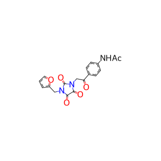 CC(=O)Nc1ccc(C(=O)CN2C(=O)C(=O)N(Cc3ccco3)C2=O)cc1